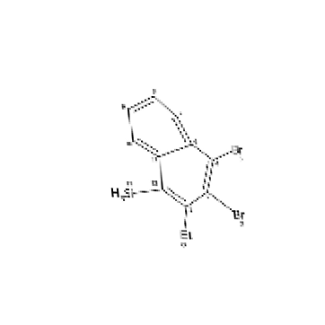 CCc1c(Br)c(Br)c2ccccc2c1[SiH3]